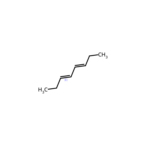 CCC=C/C=C/CC